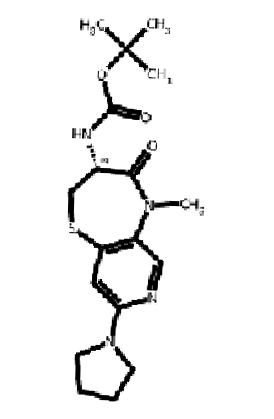 CN1C(=O)[C@@H](NC(=O)OC(C)(C)C)CSc2cc(N3CCCC3)ncc21